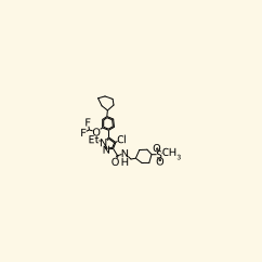 CCn1nc(C(=O)NCC2CCC(S(C)(=O)=O)CC2)c(Cl)c1-c1ccc(C2CCCCC2)cc1OC(F)F